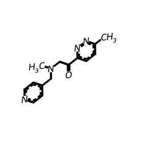 Cc1ccc(C(=O)CN(C)Cc2ccncc2)nn1